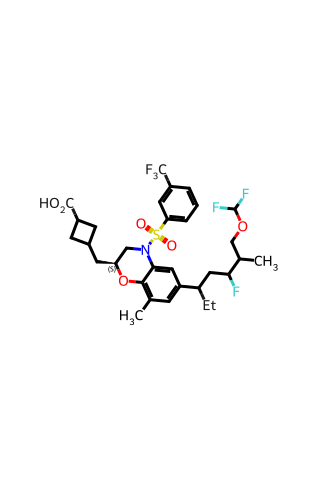 CCC(CC(F)C(C)COC(F)F)c1cc(C)c2c(c1)N(S(=O)(=O)c1cccc(C(F)(F)F)c1)C[C@H](CC1CC(C(=O)O)C1)O2